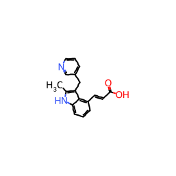 Cc1[nH]c2cccc(/C=C/C(=O)O)c2c1Cc1cccnc1